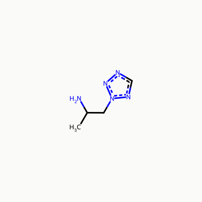 CC(N)Cn1ncnn1